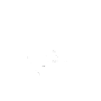 Cc1ccc(-c2nn(NC(=O)C[C@@H]3C[C@@H]4C=C[C@@H]3C4)c(=O)c3ccccc23)c(C)c1